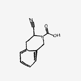 N#CC1Cc2ccccc2CN1C(=O)O